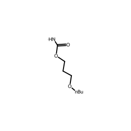 CCCCOCCCOC([NH])=O